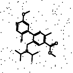 COC(=O)c1cc(CN(C(C)C)C(C)C)c(-c2cc(OC)ncc2F)cc1C